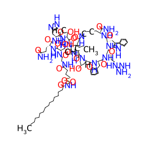 CCCCCCCCCCCCCCCC(=O)NS(=O)(=O)CCCC(=O)NCC(=O)N[C@H](C(=O)N[C@H](CCC(N)=O)C(=O)N[C@@H](Cc1c[nH]cn1)C(=O)N[C@H](C(=O)N[C@@H](CCCC)C(=O)N[C@H]1CCC(=O)NCCCC[C@@H](C(N)=O)NC(=O)[C@H](Cc2c[nH]c3ccccc23)NC(=O)[C@H](CCCNC(=N)N)NC(=O)[C@@H](Cc2ccccc2)NC(=O)[C@@H]2C[C@@H](O)CN2C1=O)[C@@H](C)O)[C@@H](C)O